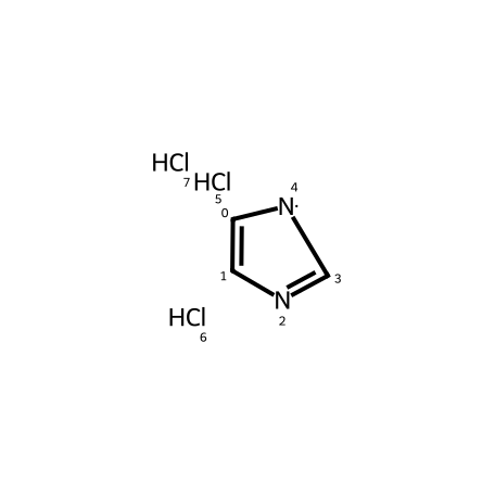 C1=CN=C[N]1.Cl.Cl.Cl